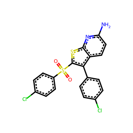 Nc1ccc2c(-c3ccc(Cl)cc3)c(S(=O)(=O)c3ccc(Cl)cc3)sc2n1